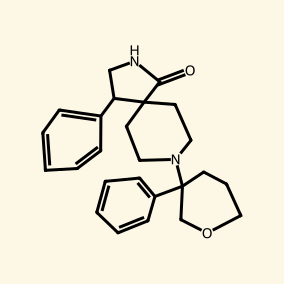 O=C1NCC(c2ccccc2)C12CCN(C1(c3ccccc3)CCCOC1)CC2